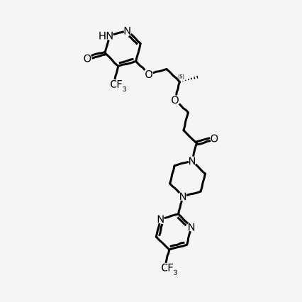 C[C@@H](COc1cn[nH]c(=O)c1C(F)(F)F)OCCC(=O)N1CCN(c2ncc(C(F)(F)F)cn2)CC1